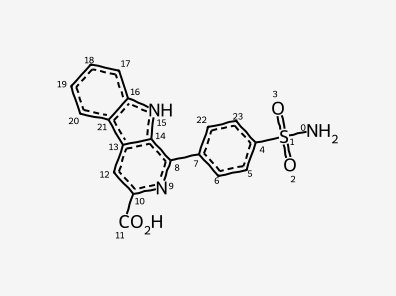 NS(=O)(=O)c1ccc(-c2nc(C(=O)O)cc3c2[nH]c2ccccc23)cc1